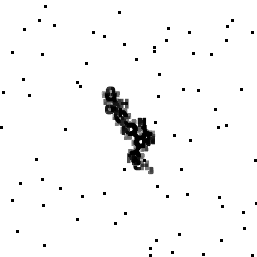 Cn1cc(-c2cc(-c3ccc(N4CCN(C(=O)NC5CCOC5)CC4)nc3)c3c(C#N)cnn3c2)cn1